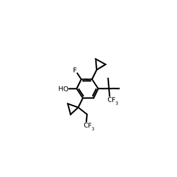 CC(C)(c1cc(C2(CC(F)(F)F)CC2)c(O)c(F)c1C1CC1)C(F)(F)F